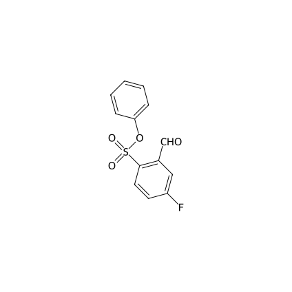 O=Cc1cc(F)ccc1S(=O)(=O)Oc1ccccc1